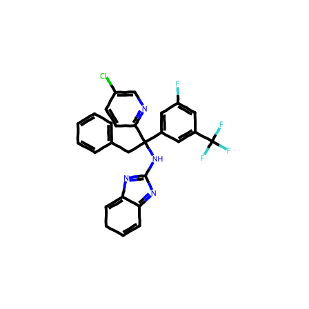 Fc1cc(C(F)(F)F)cc(C(Cc2ccccc2)(NC2=NC3=CCC=CC3=N2)c2ccc(Cl)cn2)c1